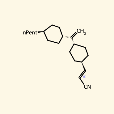 C=C([C@H]1CC[C@H](/C=C/C#N)CC1)[C@H]1CC[C@H](CCCCC)CC1